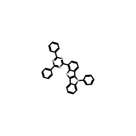 c1ccc(-c2nc(-c3ccccc3)nc(-c3cccc4c3sc3c5ccccc5n(-c5ccccc5)c43)n2)cc1